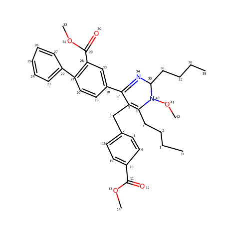 CCCCC1=C(Cc2ccc(C(=O)OC)cc2)C(c2ccc(-c3ccccc3)c(C(=O)OC)c2)=NC(CCCC)N1OC